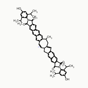 CC(C)c1cc(O)cc(C(C)C)c1N1C(=O)c2cc3cc4c(cc3cc2C1=O)CC1/C=C\c2cc3cc5cc6c(cc5cc3cc2C(C)CC1=C4)C(=O)N(c1c(C(C)C)cc(O)cc1C(C)C)C6=O